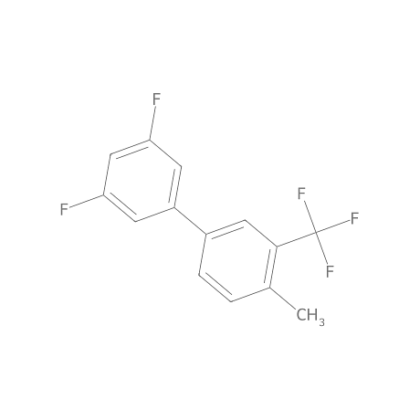 Cc1ccc(-c2cc(F)cc(F)c2)cc1C(F)(F)F